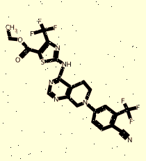 CCOC(=O)c1sc(Nc2ncnc3c2CCN(c2ccc(C#N)c(C(F)(F)F)c2)C3)nc1C(F)(F)F